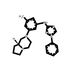 Cc1cc(Nc2ncn(-c3ccccc3)n2)cc(N2CCN3CCC[C@@H]3C2)c1